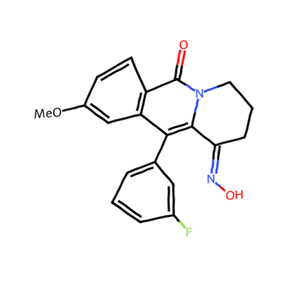 COc1ccc2c(=O)n3c(c(-c4cccc(F)c4)c2c1)/C(=N/O)CCC3